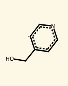 OCc1[c]cncc1